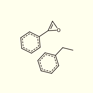 C1=C(c2ccccc2)O1.CCc1ccccc1